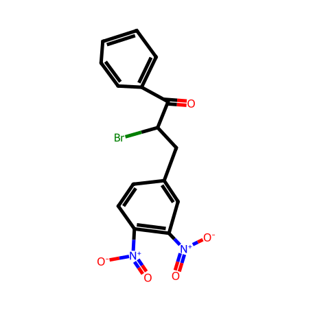 O=C(c1ccccc1)C(Br)Cc1ccc([N+](=O)[O-])c([N+](=O)[O-])c1